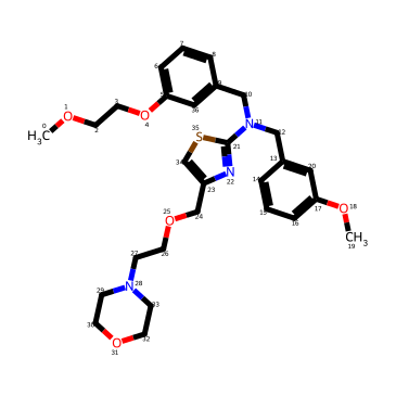 COCCOc1cccc(CN(Cc2cccc(OC)c2)c2nc(COCCN3CCOCC3)cs2)c1